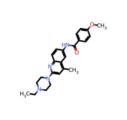 CCN1CCN(c2cc(C)c3cc(NC(=O)c4ccc(OC)cc4)ccc3n2)CC1